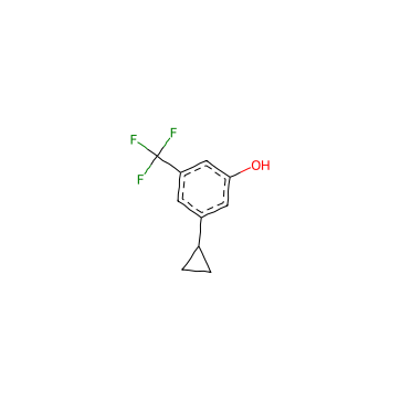 Oc1cc(C2CC2)cc(C(F)(F)F)c1